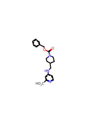 O=C(O)c1cc(NCC2CCN(C(=O)OCc3ccccc3)CC2)ccn1